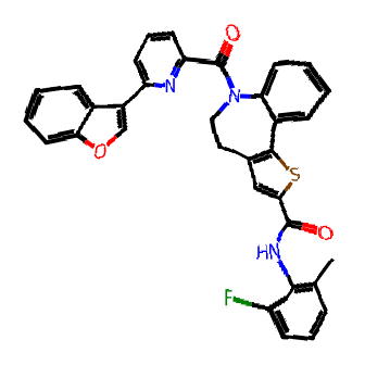 Cc1cccc(F)c1NC(=O)c1cc2c(s1)-c1ccccc1N(C(=O)c1cccc(-c3coc4ccccc34)n1)CC2